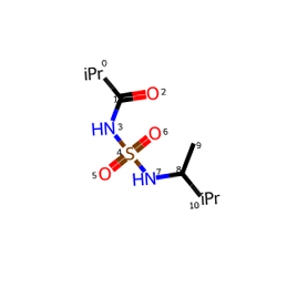 CC(C)C(=O)NS(=O)(=O)NC(C)C(C)C